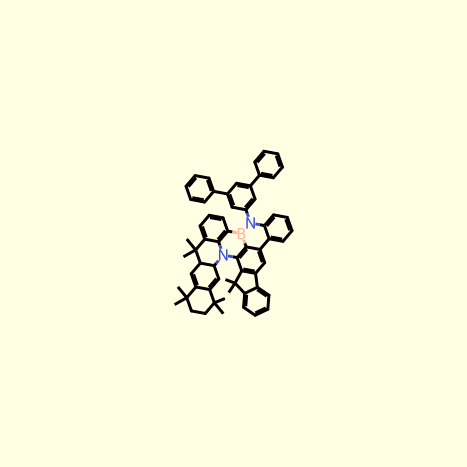 CC1(C)CCC(C)(C)C2=CC3C(C=C21)N1c2c(cccc2C3(C)C)B2c3c(cc4c(c31)C(C)(C)c1ccccc1-4)-c1ccccc1N2c1cc(-c2ccccc2)cc(-c2ccccc2)c1